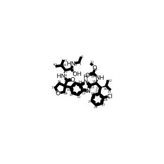 CCNC(O)[C@H](NC(=O)C1(c2ccc3nc([C@@H](NC(=O)OC)[C@H](c4ccccc4Cl)C(C)C)[nH]c3c2)CCOC1)C(C)C